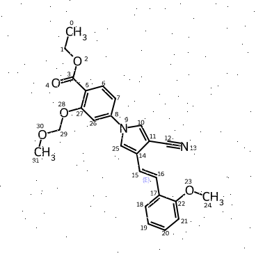 CCOC(=O)c1ccc(-n2cc(C#N)c(/C=C/c3ccccc3OC)c2)cc1OCOC